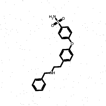 NS(=O)(=O)c1ccc(Oc2ccc(CCNCc3ccccc3)cc2)cc1